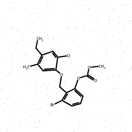 CCc1cc(Cl)c(OCc2c(Br)cccc2OC(=O)OC)cc1C